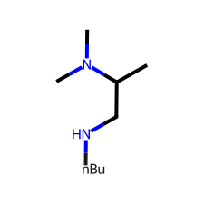 CCCCNCC(C)N(C)C